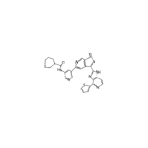 O=C(Nc1cncc(-c2cc3c(-c4nc5c(-c6cccs6)nccc5[nH]4)n[nH]c3cn2)c1)C1CCCCC1